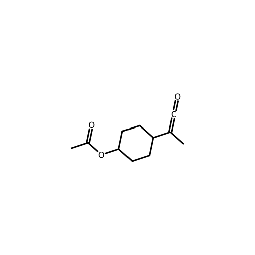 CC(=O)OC1CCC(C(C)=C=O)CC1